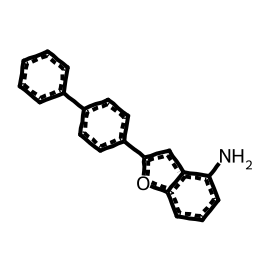 Nc1cccc2oc(-c3ccc(-c4ccccc4)cc3)cc12